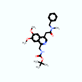 COc1cc2c(CC(=O)N(C)Cc3ccccc3)cnc(CNC(=O)OC(C)(C)C)c2cc1OC